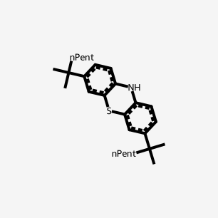 CCCCCC(C)(C)c1ccc2c(c1)Sc1cc(C(C)(C)CCCCC)ccc1N2